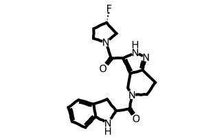 O=C(c1[nH]nc2c1CN(C(=O)C1Cc3ccccc3N1)CC2)N1CC[C@H](F)C1